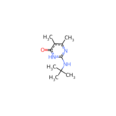 Cc1nc(NC(C)(C)C)[nH]c(=O)c1C